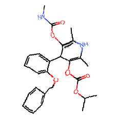 CNC(=O)OC1=C(C)NC(C)=C(OC(=O)OC(C)C)C1c1ccccc1OCc1ccccc1